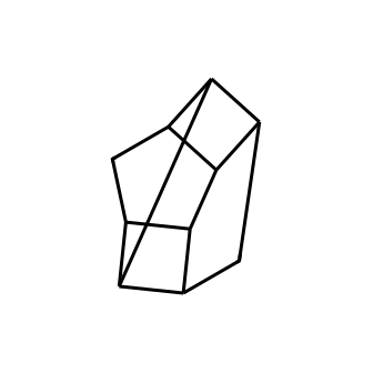 C1C2C3C4CC5C3C1C5C24